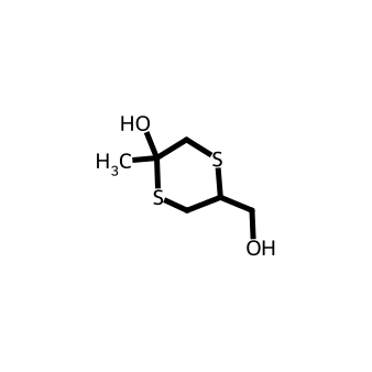 CC1(O)CSC(CO)CS1